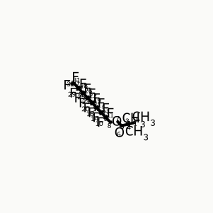 CCC(C)(C)C(=O)OCC(F)(F)C(F)(F)C(F)(F)C(F)(F)C(F)(F)C(F)(F)C(F)(F)C(F)F